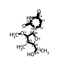 COC1[C@@H](C)[C@@H]([C@H](C)O)O[C@H]1n1ccc(=O)[nH]c1=O